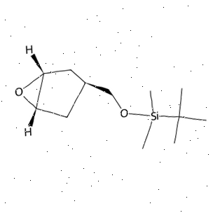 CC(C)(C)[Si](C)(C)OC[C@H]1C[C@@H]2O[C@@H]2C1